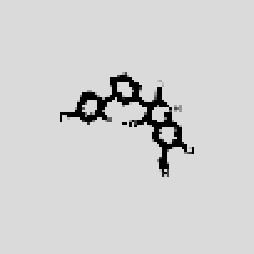 N#Cc1cc2c(O)c(-c3cccc(-c4ccc(F)cc4F)c3)c(=O)[nH]c2cc1Cl